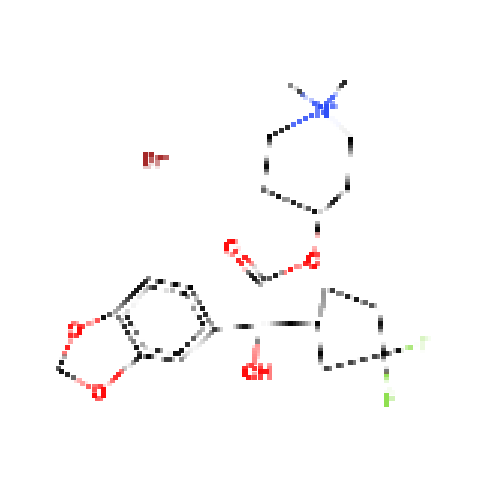 C[N+]1(C)CCC(OC(=O)[C@](O)(c2ccc3c(c2)OCO3)[C@@H]2CCC(F)(F)C2)CC1.[Br-]